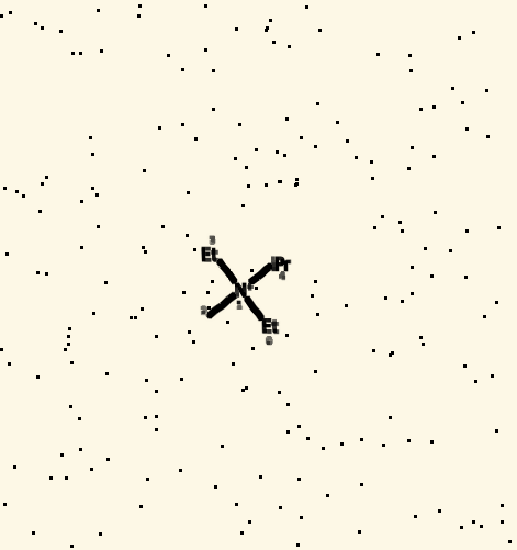 CC[N+](C)(CC)C(C)C